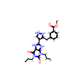 CCCn1c(=O)c2[nH]c(-c3c[nH]nc3Cc3cccc(C(=O)OC)c3)nc2n(CCC)c1=O